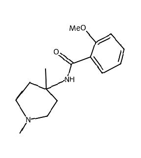 COc1ccccc1C(=O)NC1(C)CCN(C)CC1